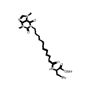 COC(=O)C(CC(C)C)NC(=O)CCCCCCCCCCn1c(=O)c2c(ncn2C)n(C)c1=O